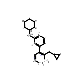 C/N=C\C(=C(/C)CC1CC1)c1ccnc(NC2CCCCC2)n1